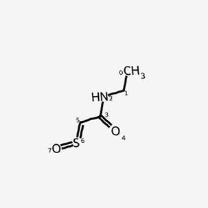 CCNC(=O)C=S=O